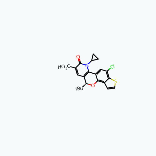 CC(C)(C)[C@@H]1Oc2c(cc(Cl)c3sccc23)-c2c1cc(C(=O)O)c(=O)n2C1CC1